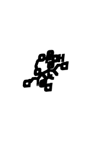 CC(CCl)C1(C(C)CCl)OCCOP(=O)(O)OC1(C(C)CCl)C(C)CCl